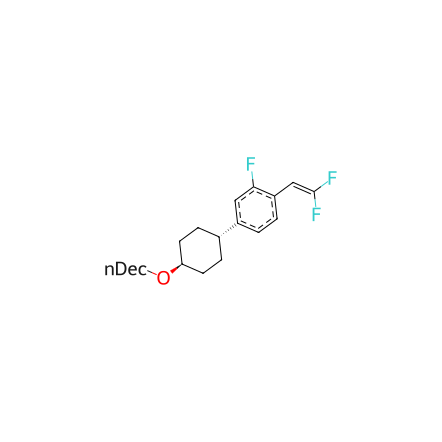 CCCCCCCCCCO[C@H]1CC[C@H](c2ccc(C=C(F)F)c(F)c2)CC1